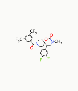 CN1CC(c2ccc(F)c(F)c2)C2(CCN(C(=O)c3cc(C(F)(F)F)cc(C(F)(F)F)c3)CC2)OC1=O